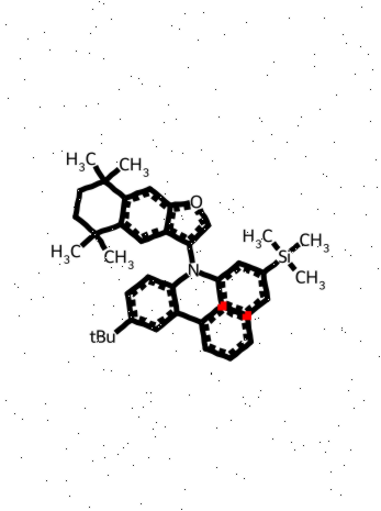 CC(C)(C)c1ccc(N(c2cccc([Si](C)(C)C)c2)c2coc3cc4c(cc23)C(C)(C)CCC4(C)C)c(-c2ccccc2)c1